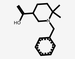 C=C(O)C1CCC(C)(C)N(Cc2ccccc2)C1